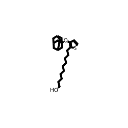 OCCCCCCCCCCc1sccc1OC12CC3CC(CC(C3)C1)C2